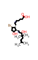 CC(C)=CCC(C)(C)[C@H](O)/C=C/[C@@H]1[C@@H](C/C=C\CCCC(=O)O)[C@H](Br)C[C@H]1O